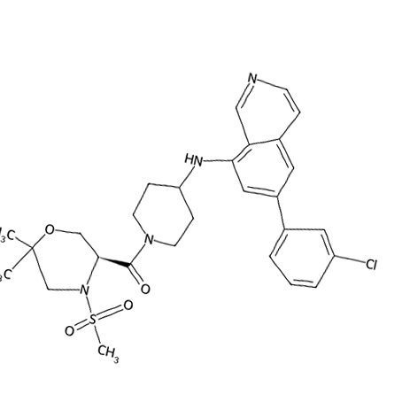 CC1(C)CN(S(C)(=O)=O)[C@H](C(=O)N2CCC(Nc3cc(-c4cccc(Cl)c4)cc4ccncc34)CC2)CO1